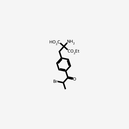 CCOC(=O)C(N)(Cc1ccc(C(=O)C(C)Br)cc1)C(=O)O